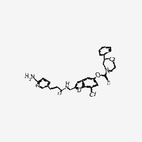 Nc1ccc(/C=C/C(=O)NCc2cc3cc(OC(=O)N4CCOC(c5ccccc5)C4)cc(Cl)c3o2)cn1